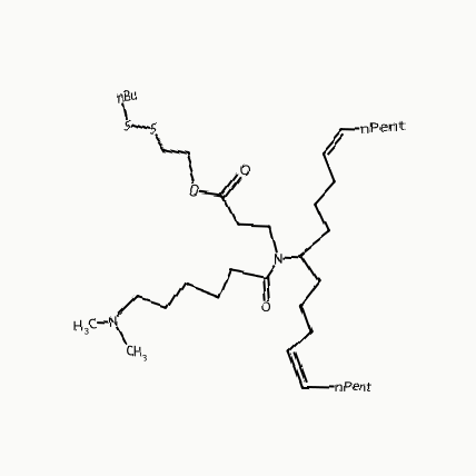 CCCCC/C=C\CCCC(CCC/C=C\CCCCC)N(CCC(=O)OCCSSCCCC)C(=O)CCCCCN(C)C